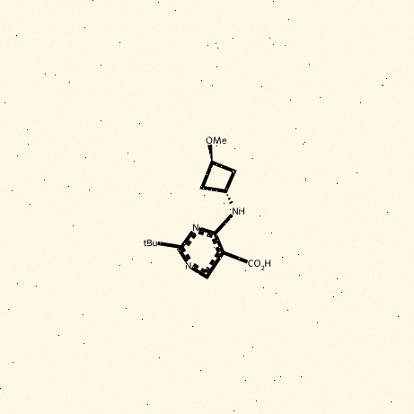 CO[C@H]1C[C@H](Nc2nc(C(C)(C)C)ncc2C(=O)O)C1